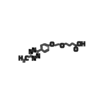 Cc1nnc(-c2ccc(OCCOCCCC(=O)O)cc2)nn1